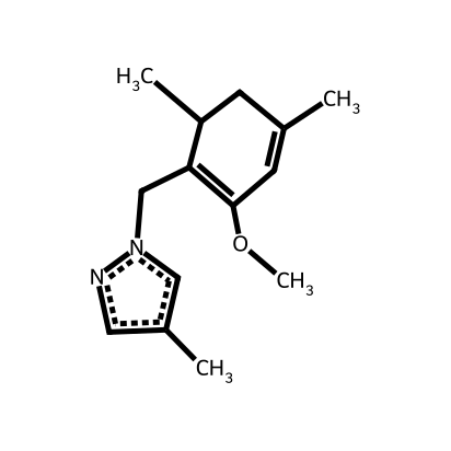 COC1=C(Cn2cc(C)cn2)C(C)CC(C)=C1